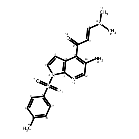 Cc1ccc(S(=O)(=O)n2ccc3c(C(=O)C=CN(C)C)c(N)cnc32)cc1